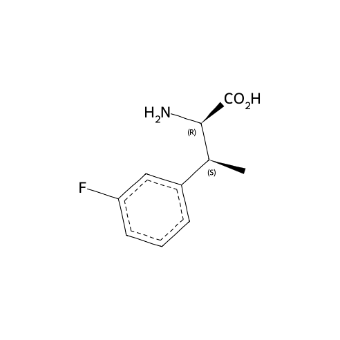 C[C@@H](c1cccc(F)c1)[C@@H](N)C(=O)O